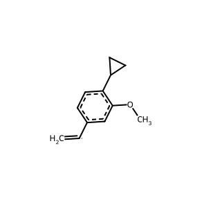 C=[C]c1ccc(C2CC2)c(OC)c1